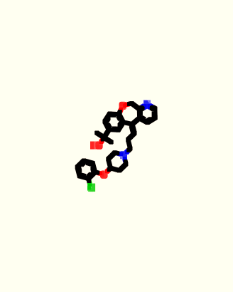 CC(C)(O)c1ccc2c(c1)C(=CCCN1CCC(Oc3ccccc3Cl)CC1)c1cccnc1CO2